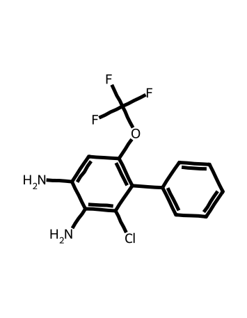 Nc1cc(OC(F)(F)F)c(-c2ccccc2)c(Cl)c1N